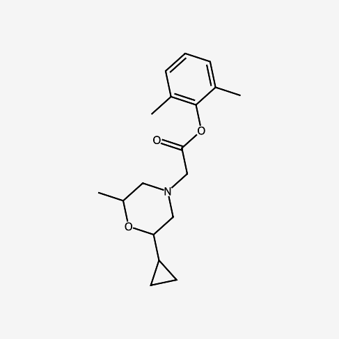 Cc1cccc(C)c1OC(=O)CN1CC(C)OC(C2CC2)C1